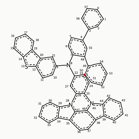 c1ccc(-c2ccc(N(c3ccc4sc5ccccc5c4c3)c3ccc4c(c3)n3c5ccccc5c5ccc6c7ccccc7n4c6c53)c(-c3ccccc3)c2)cc1